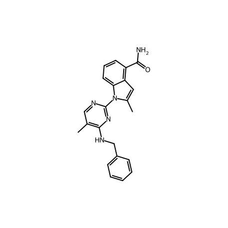 Cc1cnc(-n2c(C)cc3c(C(N)=O)cccc32)nc1NCc1ccccc1